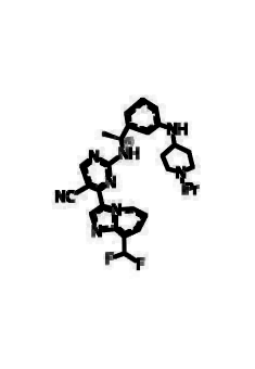 CC(C)N1CCC(Nc2cccc([C@H](C)Nc3ncc(C#N)c(-c4cnc5c(C(F)F)cccn45)n3)c2)CC1